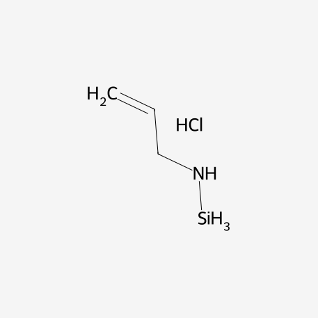 C=CCN[SiH3].Cl